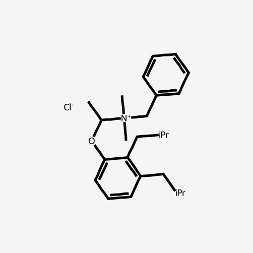 CC(C)Cc1cccc(OC(C)[N+](C)(C)Cc2ccccc2)c1CC(C)C.[Cl-]